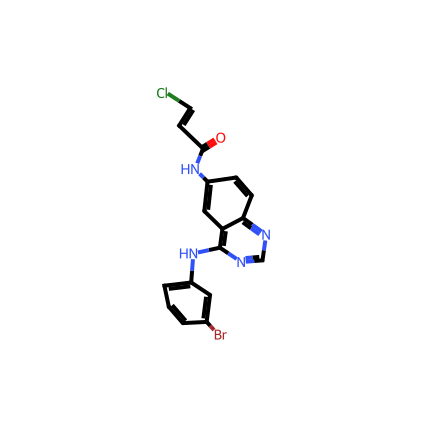 O=C(C=CCl)Nc1ccc2ncnc(Nc3cccc(Br)c3)c2c1